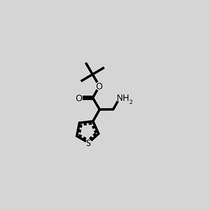 CC(C)(C)OC(=O)C(CN)c1ccsc1